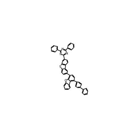 c1ccc(-c2ccc(-c3ccc(-c4ccc5sc6cc(-c7nc(-c8ccccc8)nc(-c8ccccc8)n7)ccc6c5c4)c4oc5ccccc5c34)cc2)cc1